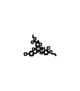 CCCOc1ccc(/N=c2\[nH]c(=O)n(CC3(C(=O)OCC)CC3)c(=O)n2Cc2ccc(Cl)cc2)cc1Cl